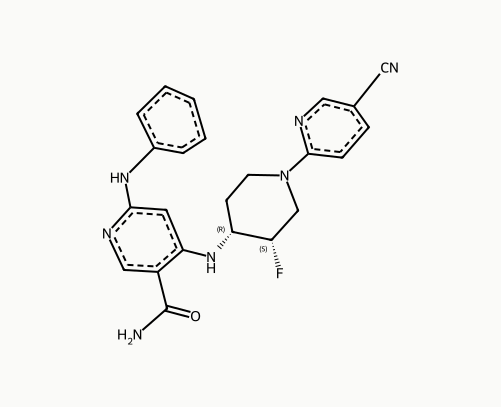 N#Cc1ccc(N2CC[C@@H](Nc3cc(Nc4ccccc4)ncc3C(N)=O)[C@@H](F)C2)nc1